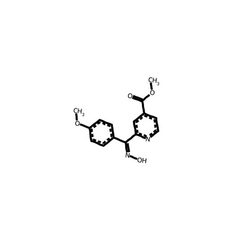 COC(=O)c1ccnc(/C(=N\O)c2ccc(OC)cc2)c1